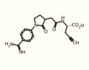 C#CC[C@H](NC(=O)CC1CCN(c2ccc(C(=N)N)cc2)C1=O)C(=O)O